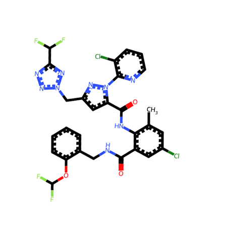 Cc1cc(Cl)cc(C(=O)NCc2ccccc2OC(F)F)c1NC(=O)c1cc(Cn2nnc(C(F)F)n2)nn1-c1ncccc1Cl